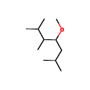 COC(CC(C)C)C(C)C(C)C